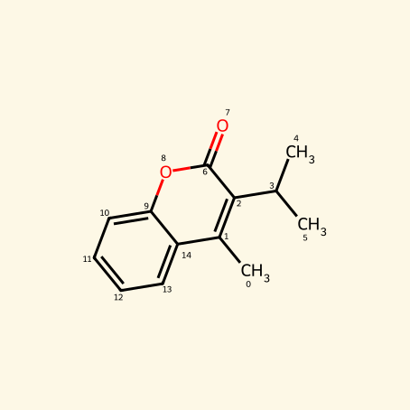 Cc1c(C(C)C)c(=O)oc2ccccc12